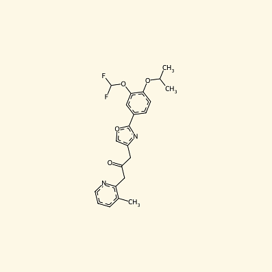 Cc1cccnc1CC(=O)Cc1coc(-c2ccc(OC(C)C)c(OC(F)F)c2)n1